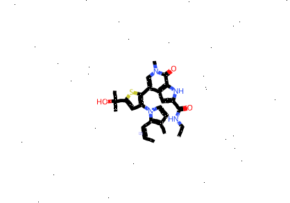 C/C=C\c1c(C)ccn1-c1cc(C(C)(C)O)sc1-c1cn(C)c(=O)c2[nH]c(C(=O)NCC)cc12